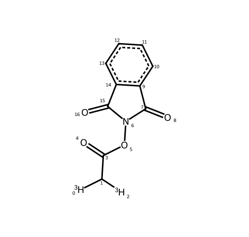 [3H]C([3H])C(=O)ON1C(=O)c2ccccc2C1=O